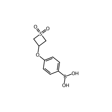 O=S1(=O)CC(Oc2ccc(B(O)O)cc2)C1